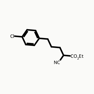 CCOC(=O)C(C#N)CCCc1ccc(Cl)cc1